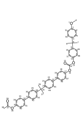 COc1ccc(C(C)(C)c2ccc(OC(=O)Oc3ccc(-c4ccc(C(C)(C)c5ccc(-c6ccc(OC(C)=O)cc6)cc5)cc4)cc3)cc2)cc1